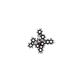 c1ccc(-n2c3ccccc3c3cccc(-c4nc(-c5ccc6ccccc6c5)nc(-c5c(-n6c7ccccc7c7cc8ccccc8cc76)ccc6c5oc5ccccc56)n4)c32)cc1